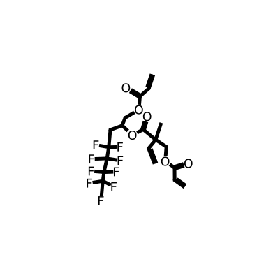 C=CC(=O)OCC(CC(F)(F)C(F)(F)C(F)(F)C(F)(F)F)OC(=O)C(C)(C=C)COC(=O)C=C